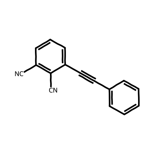 N#Cc1cccc(C#Cc2ccccc2)c1C#N